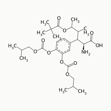 CC(C)COC(=O)Oc1ccc(C(C(C)C(C)OC(=O)C(C)(C)C)[C@H](N)C(=O)O)cc1OC(=O)OCC(C)C